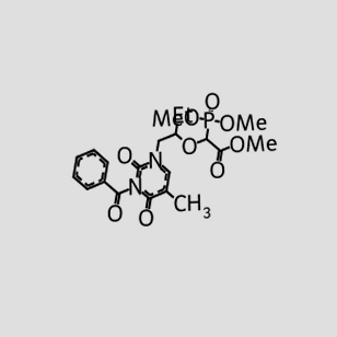 CCC(Cn1cc(C)c(=O)n(C(=O)c2ccccc2)c1=O)OC(C(=O)OC)P(=O)(OC)OC